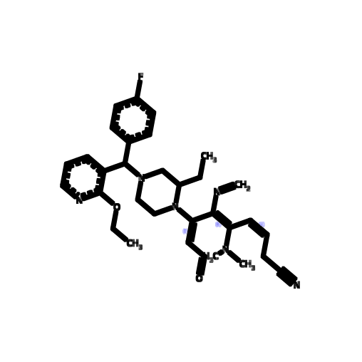 C=NC(/C(=C\C=O)N1CCN(C(c2ccc(F)cc2)c2cccnc2OCC)CC1CC)=C(\C=C/CC#N)N(C)C